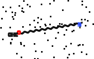 CN(C)CCCCCCCCCCCCCCCCCCCCOC=O